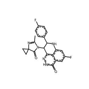 CC1=NC2(CC2)C(=O)N1C1c2n[nH]c(=O)c3cc(F)cc(c23)NC1c1ccc(F)cc1